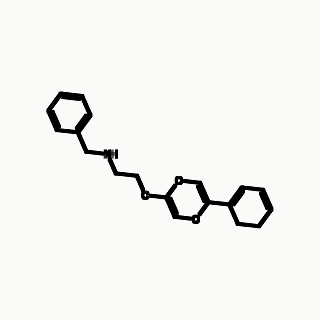 C1=CCCC(C2=COC(OCCNCc3ccccc3)=CO2)=C1